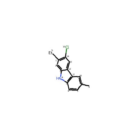 CCc1cc2[nH]c3ccc(C)cc3c2cc1Cl